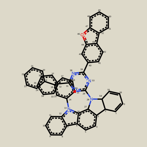 C1=CC2c3ccc4c5ccccc5n(-c5cccc(-c6ccccc6)c5)c4c3N(c3nc(-c4ccccc4)nc(-c4ccc5c(c4)oc4ccccc45)n3)C2C=C1